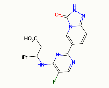 CC(C)C(CC(=O)O)Nc1nc(-c2ccc3n[nH]c(=O)n3c2)ncc1F